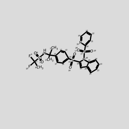 CC(C)(NS(=O)(=O)C(C)(F)F)c1ccc(S(=O)(=O)c2cc3ccccc3n2S(=O)(=O)c2ccccn2)cc1